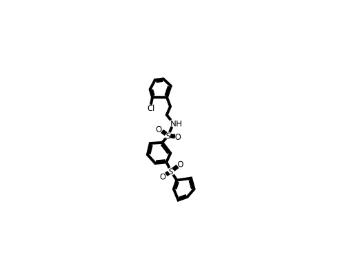 O=S(=O)(NCCc1ccccc1Cl)c1cccc(S(=O)(=O)c2ccccc2)c1